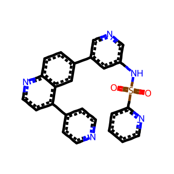 O=S(=O)(Nc1cncc(-c2ccc3nccc(-c4ccncc4)c3c2)c1)c1ccccn1